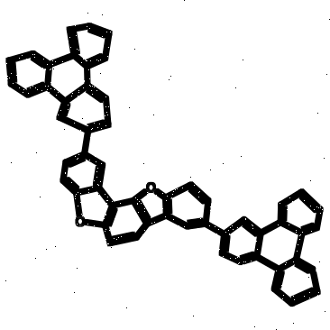 c1ccc2c(c1)c1ccccc1c1cc(-c3ccc4oc5c(ccc6oc7ccc(-c8ccc9c%10ccccc%10c%10ccccc%10c9c8)cc7c65)c4c3)ccc21